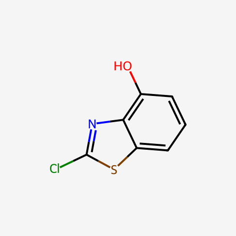 Oc1cccc2sc(Cl)nc12